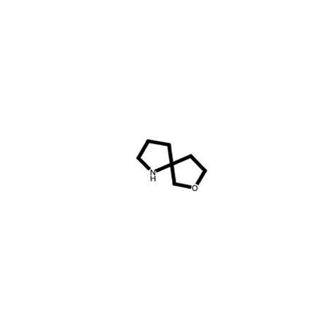 C1CNC2(C1)CCOC2